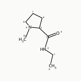 CCNC(=O)C1CCCN1C